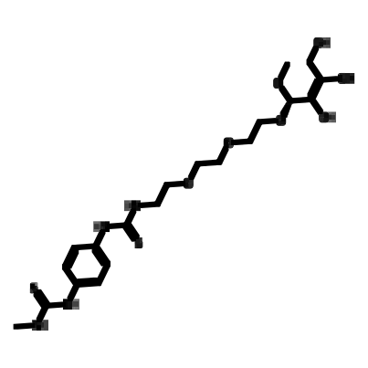 CNC(=S)Nc1ccc(NC(=S)NCCOCCOCCO[C@@H](OC)/C(O)=C(/O)CO)cc1